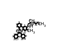 C=C(CNc1cc(-c2ccccc2-c2nc(-c3ccccc3)c(-c3ccccc3)o2)ccc1C)OCCCC